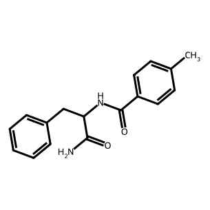 Cc1ccc(C(=O)NC(Cc2ccccc2)C(N)=O)cc1